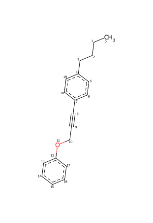 CCCCc1ccc(C#CCOc2ccccc2)cc1